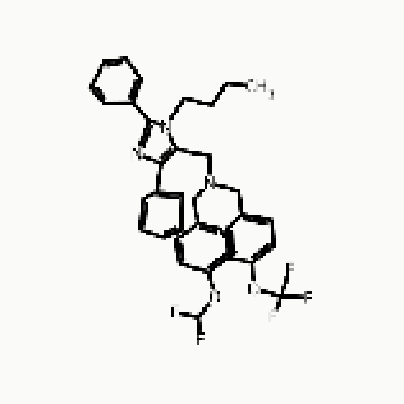 CCCCn1c(-c2ccccc2)nc(-c2ccccc2)c1CN(Cc1ccc(OC(F)F)cc1)Cc1ccc(OC(F)(F)F)cc1